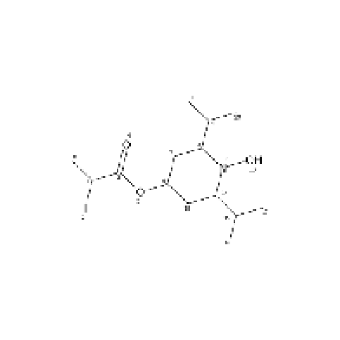 CC(I)C(=O)OC1CC(C(C)C)N(O)C(C(C)C)C1